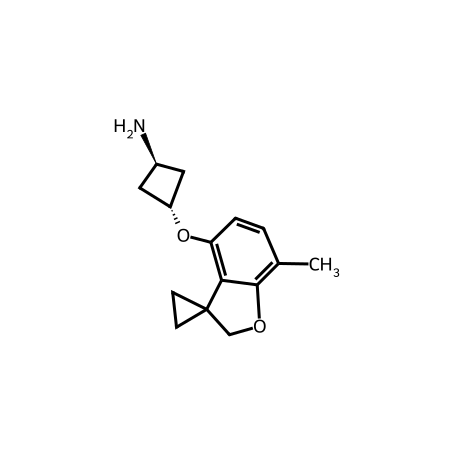 Cc1ccc(O[C@H]2C[C@H](N)C2)c2c1OCC21CC1